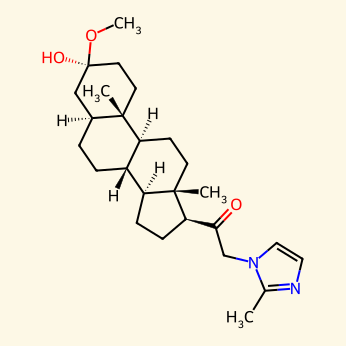 CO[C@@]1(O)CC[C@@]2(C)[C@@H](CC[C@@H]3[C@@H]2CC[C@]2(C)[C@@H](C(=O)Cn4ccnc4C)CC[C@@H]32)C1